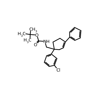 CC(C)(C)OC(=O)NCC1(c2cccc(Cl)c2)CC=C(c2ccccc2)CC1